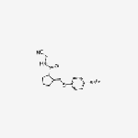 CSc1ccc(SC[C@H]2CCC[C@@H]2C(=O)NCC#N)cc1